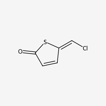 O=C1C=C/C(=C\Cl)S1